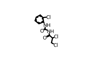 O=C(NC(=O)C(Cl)CCl)Nc1ccccc1Cl